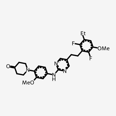 CCc1cc(OC)c(F)c(CCc2cnc(Nc3ccc(N4CCC(=O)CC4)c(OC)c3)nc2)c1F